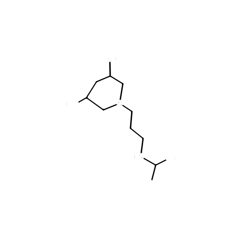 CC1CC(C)CN(CCCNC(C)C)C1